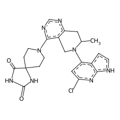 CC1Cc2ncnc(N3CCC4(CC3)NC(=O)NC4=O)c2CN1c1cc(Cl)nc2[nH]ccc12